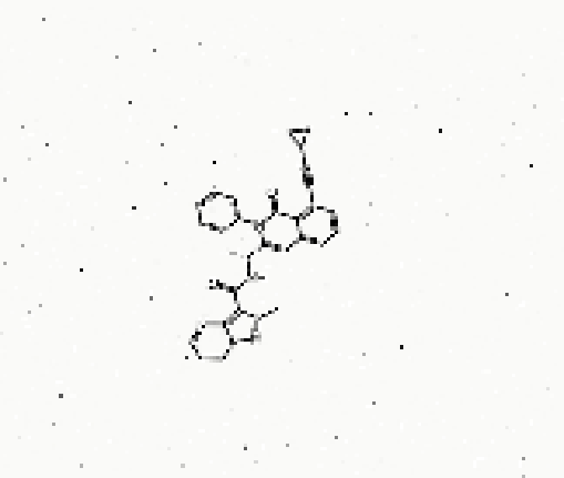 Cc1nn2cccnc2c1C(=O)N[C@H](C)c1cc2cccc(C#CC3CC3)c2c(=O)n1-c1ccccc1